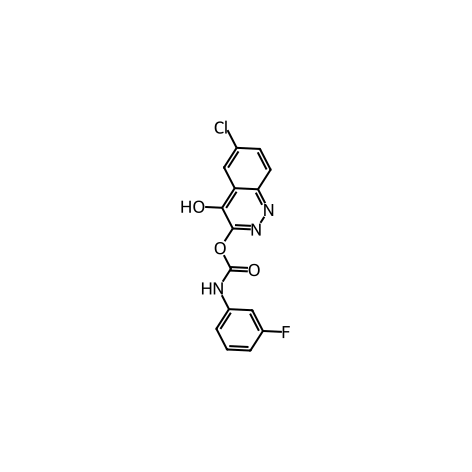 O=C(Nc1cccc(F)c1)Oc1nnc2ccc(Cl)cc2c1O